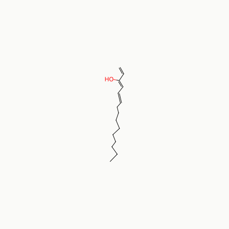 C=CC(O)=CC=CCCCCCCCCC